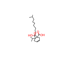 CC(C)CCCCCCCCC1(C(=O)O)CC=CCC1(C(=O)O)C(C)C